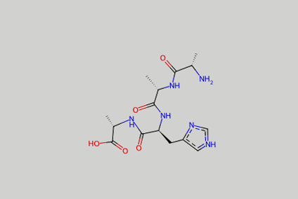 C[C@H](N)C(=O)N[C@@H](C)C(=O)N[C@@H](Cc1c[nH]cn1)C(=O)N[C@@H](C)C(=O)O